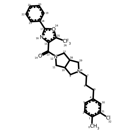 Cc1ccc([CH]CCN2CC3CN(C(=O)c4nc(-c5ccccc5)oc4C(F)(F)F)CC3C2)cc1Cl